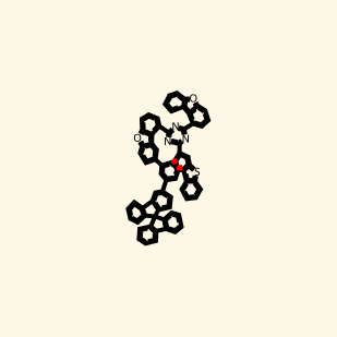 c1cc(-c2ccc3c(c2)-c2ccccc2C32c3ccccc3-c3ccccc32)cc(-c2ccc3oc4cccc(-c5nc(-c6ccc7c(c6)sc6ccccc67)nc(-c6cccc7oc8ccccc8c67)n5)c4c3c2)c1